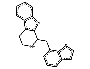 c1cc(CC2NCCc3c2[nH]c2ccccc32)c2sccc2c1